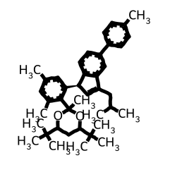 Cc1ccc(-c2ccc3c(c2)C(CC(C)C)=C[C@H]3c2cc(C)cc(C)c2C2(C)OC(C(C)(C)C)CC(C(C)(C)C)O2)cc1